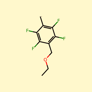 [CH2]c1c(F)c(F)c(COCC)c(F)c1F